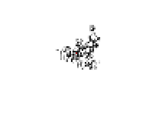 COC(=O)CCc1cc2c(OC[C@@H]3CCCN3C)nc3c(F)c(Br)c(CCC#N)cc3c2n1C1C2CC1N(C(=O)OC(C)(C)C)C2